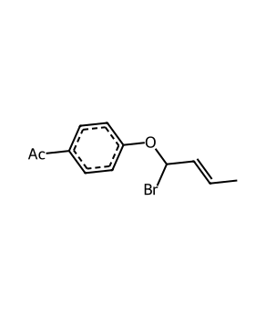 CC=CC(Br)Oc1ccc(C(C)=O)cc1